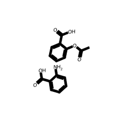 CC(=O)Oc1ccccc1C(=O)O.Nc1ccccc1C(=O)O